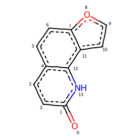 O=c1ccc2ccc3occc3c2[nH]1